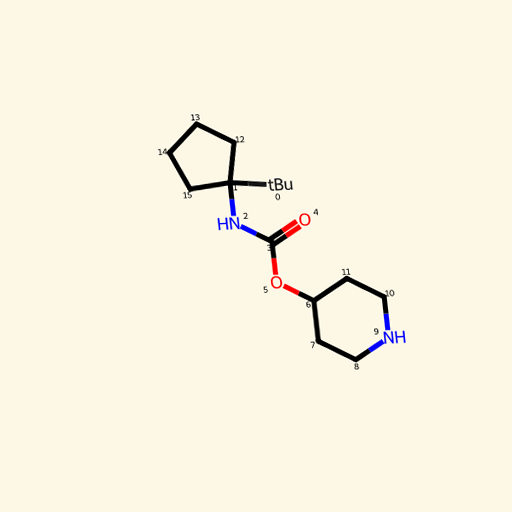 CC(C)(C)C1(NC(=O)OC2CCNCC2)CCCC1